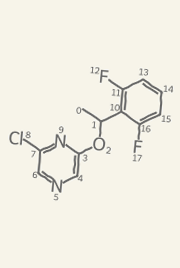 CC(Oc1cncc(Cl)n1)c1c(F)cccc1F